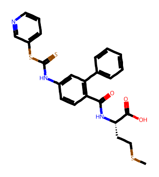 CSCC[C@H](NC(=O)c1ccc(NC(=S)Sc2cccnc2)cc1-c1ccccc1)C(=O)O